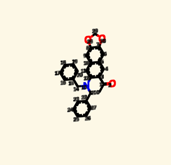 CC(=O)c1cc2cc3c(cc2cc1N(Cc1ccccc1)Cc1ccccc1)OCO3